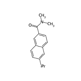 CC(C)c1ccc2cc(C(=O)N(C)C)ccc2c1